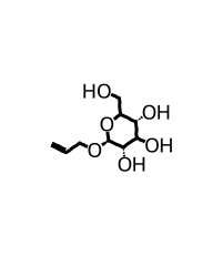 C=CCO[C@H]1OC(CO)[C@H](O)C(O)[C@@H]1O